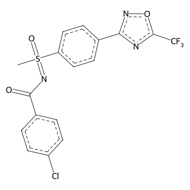 CS(=O)(=NC(=O)c1ccc(Cl)cc1)c1ccc(-c2noc(C(F)(F)F)n2)cc1